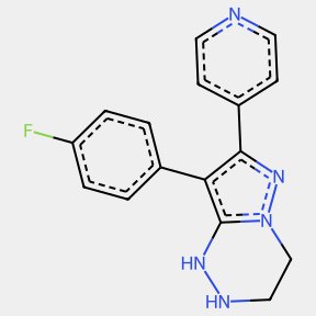 Fc1ccc(-c2c(-c3ccncc3)nn3c2NNCC3)cc1